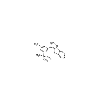 Cc1cc(-c2ncnc3c2sc2ccccc23)cc(C(C)(C)C)c1